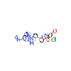 Cc1c(Nc2nccc3cc(CN4CCCC4)cnc23)cccc1-c1cccc(-c2nc3cc(C=O)cc(Cl)c3o2)c1C